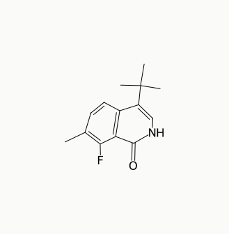 Cc1ccc2c(C(C)(C)C)c[nH]c(=O)c2c1F